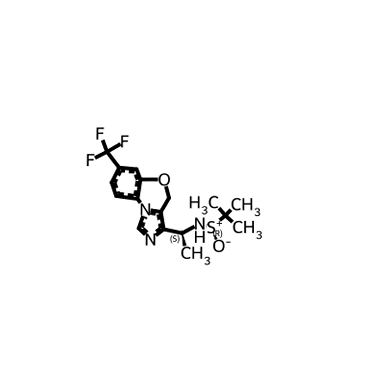 C[C@H](N[S@@+]([O-])C(C)(C)C)c1ncn2c1COc1cc(C(F)(F)F)ccc1-2